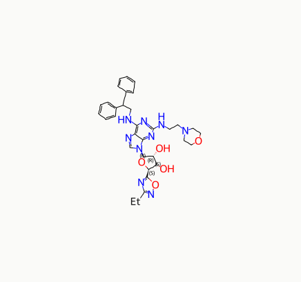 CCc1noc([C@H]2O[C@@H](n3cnc4c(NCC(c5ccccc5)c5ccccc5)nc(NCCN5CCOCC5)nc43)[C@H](O)[C@@H]2O)n1